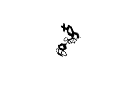 CC(C)(C)c1ccc2c[c]nc(C(=O)Nc3ccc4c(c3)OCCO4)c2c1